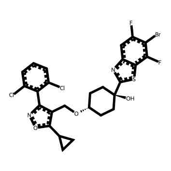 O[C@]1(c2nc3cc(F)c(Br)c(F)c3s2)CC[C@@H](OCc2c(-c3c(Cl)cccc3Cl)noc2C2CC2)CC1